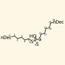 CCCCCCCCCCCCCCCSP(O)(=S)SCCCCCCCCCCCCCCC